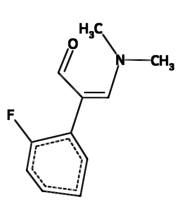 CN(C)C=C(C=O)c1ccccc1F